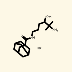 Br.CCCCCCCCCCC(CCCNC(=O)C12CC3CC(CC(C3)C1)C2)C(C)(C)N